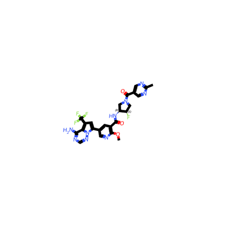 COc1ncc(-c2cc(C(F)(F)F)c3c(N)ncnn23)cc1C(=O)N[C@@H]1CN(C(=O)c2cnc(C)nc2)C[C@@H]1F